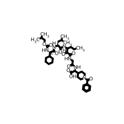 CCCC(NC(=O)[C@H](CC(C)C)NC(=O)[C@@H](NC(=O)OCC(C)C)C1CCCCC1)C(=O)C(=O)NCC(=O)N[C@H](C(=O)O)C1CCN(C(=O)c2ccccc2)CC1